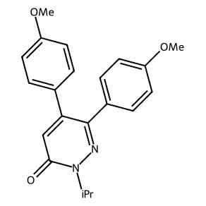 COc1ccc(-c2cc(=O)n(C(C)C)nc2-c2ccc(OC)cc2)cc1